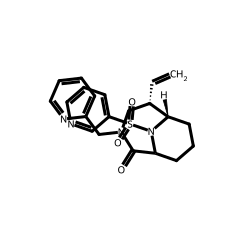 C=C[C@H]1CN(Cc2ccccn2)C(=O)C2CCC[C@@H]1N2S(=O)(=O)c1cccnc1